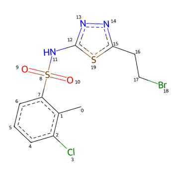 Cc1c(Cl)cccc1S(=O)(=O)Nc1nnc(CCBr)s1